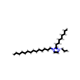 CCCCCCCCCCCCCCn1cc[n+](CCC)c1CCCCCCCC